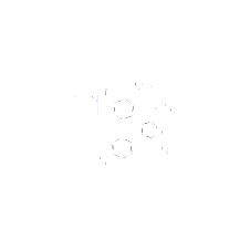 COc1cc(-c2c(C(N)=O)[nH]c(C#N)c2-c2ccc([N+](=O)[O-])cc2C)ccc1C(=O)NCC(C)(C)F